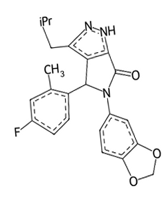 Cc1cc(F)ccc1C1c2c(CC(C)C)n[nH]c2C(=O)N1c1ccc2c(c1)OCO2